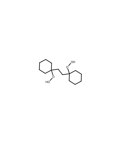 OOC1(CCC2(OO)CCCCC2)CCCCC1